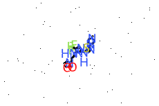 CN1CCN(c2ncc(Nc3ncc(C(F)(F)F)c(NCCCN4CCCOC4=O)n3)s2)CC1